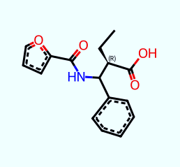 CC[C@@H](C(=O)O)C(NC(=O)c1ccco1)c1ccccc1